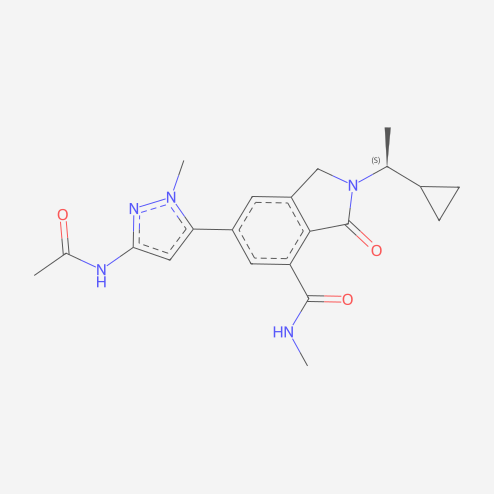 CNC(=O)c1cc(-c2cc(NC(C)=O)nn2C)cc2c1C(=O)N([C@@H](C)C1CC1)C2